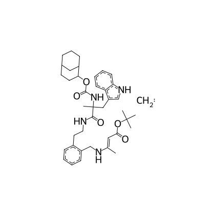 CC(=CC(=O)OC(C)(C)C)NCc1ccccc1CCNC(=O)C(C)(Cc1c[nH]c2ccccc12)NC(=O)OC1CCC2CCCC1C2.[CH2]